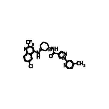 Cc1ccnc(-n2cc(C(=O)N[C@@H]3CCC[C@H](Nc4cc(C(F)(F)F)nc5ccc(Cl)cc45)C3)cn2)c1